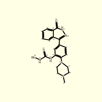 CN1CCN(c2ccc(-c3n[nH]c(=O)c4ccccc34)cc2NC(=O)NC(C)(C)C)CC1